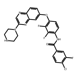 O=C(Nc1ccc(Oc2ccc3ncc(N4CCNCC4)nc3c2)c(F)c1F)c1ccc(Cl)c(F)c1